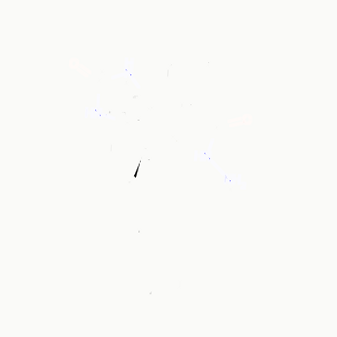 NNC(=O)CBr.O=C(O)CCCC[C@@H]1SC[C@@H]2NC(=O)N[C@@H]21